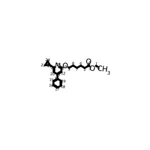 CCOC(=O)CCCCCOc1cc(-c2ccccc2)cc(C2CC2)n1